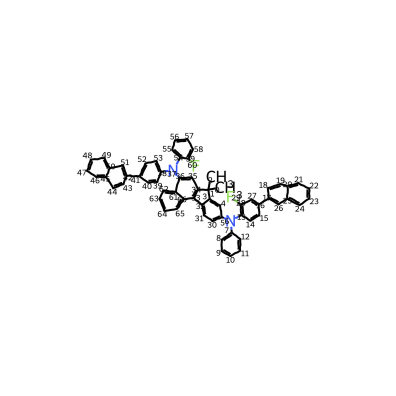 CC1(C)c2cc(N(c3ccccc3)c3ccc(-c4ccc5ccccc5c4)cc3F)ccc2-c2c1cc(N(c1ccc(-c3ccc4ccccc4c3)cc1)c1ccccc1F)c1ccccc21